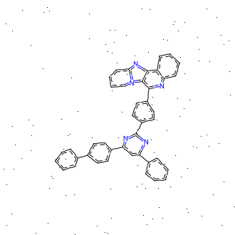 c1ccc(-c2ccc(-c3cc(-c4ccccc4)nc(-c4ccc(-c5nc6ccccc6c6nc7ccccn7c56)cc4)n3)cc2)cc1